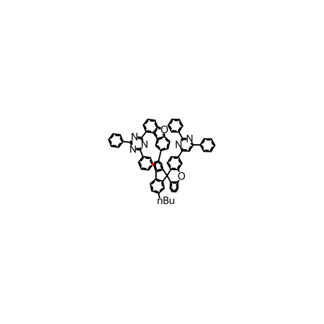 CCCCc1ccc2c(c1)C1(c3ccccc3Oc3cc(-c4cc(-c5ccccc5)nc(-c5ccccc5)n4)ccc31)c1cc(-c3ccc4oc5cccc(-c6nc(-c7ccccc7)nc(-c7ccccc7)n6)c5c4c3)ccc1-2